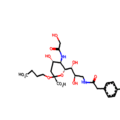 O=C(O)CCCO[C@]1(C(=O)O)C[C@H](O)[C@@H](NC(=O)CO)[C@H]([C@H](O)[C@H](O)CNC(=O)Cc2ccc(Cl)cc2)O1